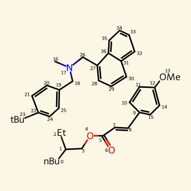 CCCCC(CC)COC(=O)/C=C/c1ccc(OC)cc1.CN(Cc1ccc(C(C)(C)C)cc1)Cc1cccc2ccccc12